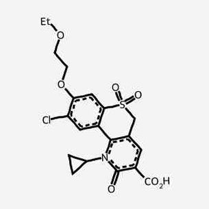 CCOCCOc1cc2c(cc1Cl)-c1c(cc(C(=O)O)c(=O)n1C1CC1)CS2(=O)=O